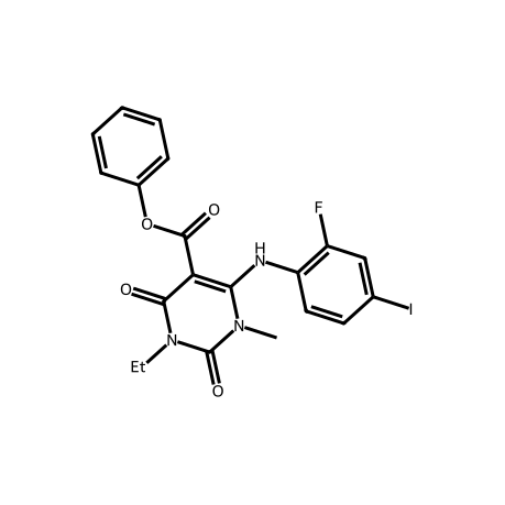 CCn1c(=O)c(C(=O)Oc2ccccc2)c(Nc2ccc(I)cc2F)n(C)c1=O